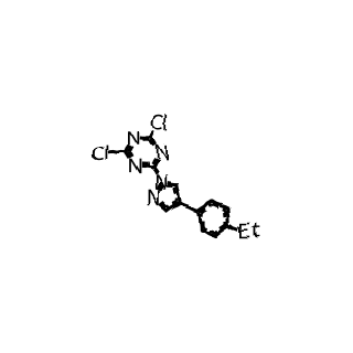 CCc1ccc(-c2cnn(-c3nc(Cl)nc(Cl)n3)c2)cc1